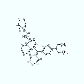 CCN(CC)c1ccc(C(=C2C=CCC=C2)c2ccc(NCC3CC4CCC3C4)c3ccccc23)cc1